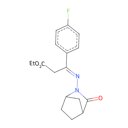 CCOC(=O)C/C(=N\N1C(=O)C2CCC1C2)c1ccc(F)cc1